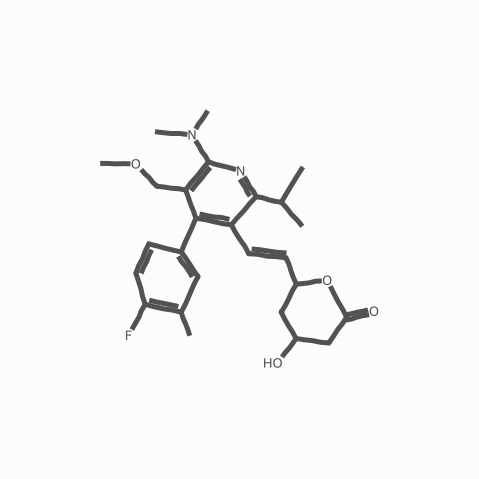 COCc1c(N(C)C)nc(C(C)C)c(/C=C/C2CC(O)CC(=O)O2)c1-c1ccc(F)c(C)c1